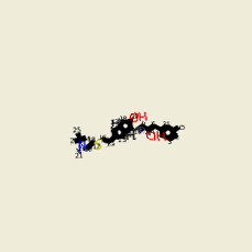 Cc1cccc(C[C@H](O)/C=C/[C@@H]2[C@H]3CC(CCSCCN(C)C(C)(C)C)=C[C@H]3C[C@H]2O)c1